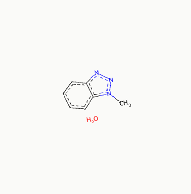 Cn1nnc2ccccc21.O